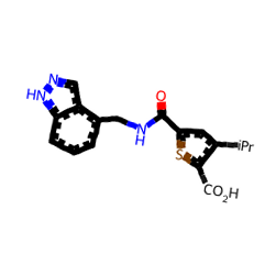 CC(C)c1cc(C(=O)NCc2cccc3[nH]ncc23)sc1C(=O)O